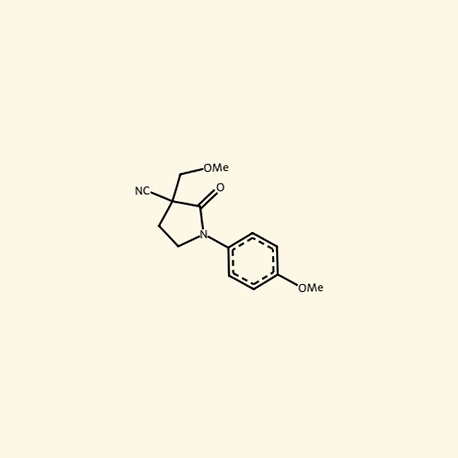 COCC1(C#N)CCN(c2ccc(OC)cc2)C1=O